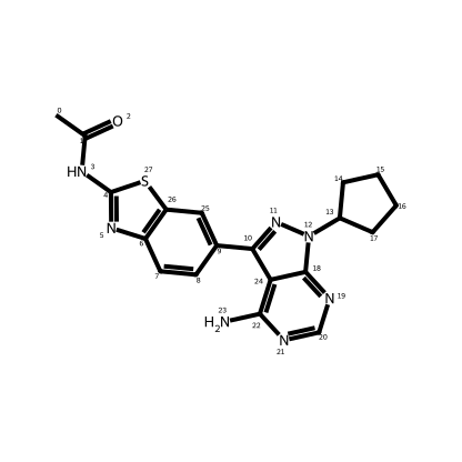 CC(=O)Nc1nc2ccc(-c3nn(C4CCCC4)c4ncnc(N)c34)cc2s1